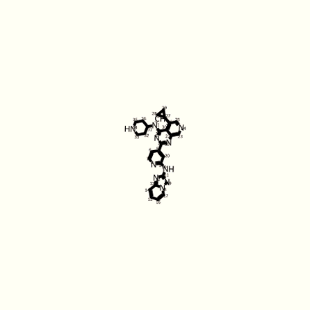 CN(c1nc(-c2ccnc(Nc3nc4ccccn4n3)c2)nc2cncc(C3CC3)c12)C1CCNCC1